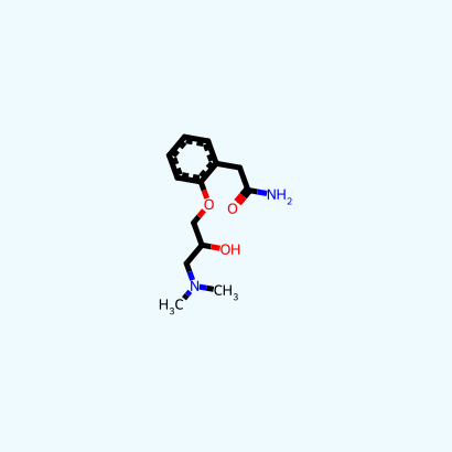 CN(C)CC(O)COc1ccccc1CC(N)=O